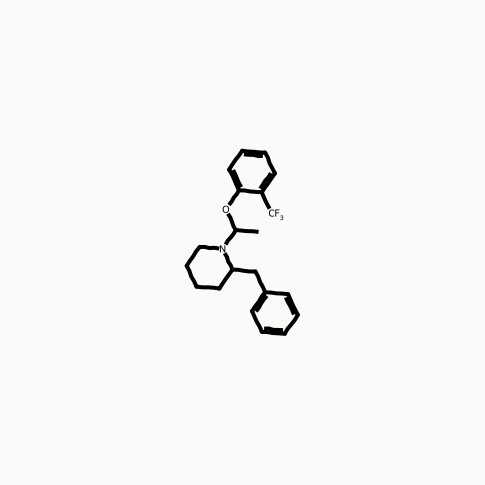 CC(Oc1ccccc1C(F)(F)F)N1CCCCC1Cc1ccccc1